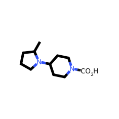 CC1CCCN1C1CCN(C(=O)O)CC1